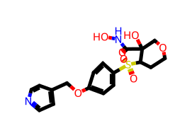 O=C(NO)C1(O)COCCC1S(=O)(=O)c1ccc(OCc2ccncc2)cc1